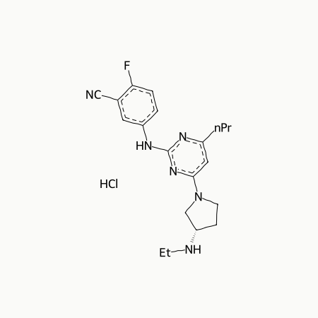 CCCc1cc(N2CC[C@H](NCC)C2)nc(Nc2ccc(F)c(C#N)c2)n1.Cl